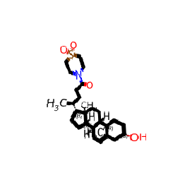 CC(CCC(=O)N1CCS(=O)(=O)CC1)[C@H]1CC[C@H]2[C@@H]3CC=C4C[C@@H](O)CC[C@]4(C)[C@H]3CC[C@]12C